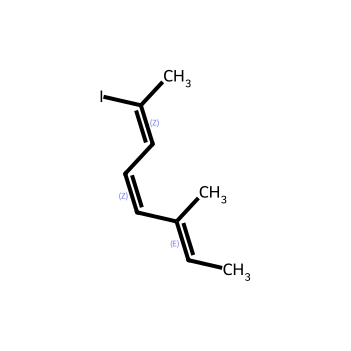 C/C=C(C)/C=C\C=C(\C)I